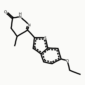 CCOc1ccc2cc(C3=NNC(=O)CC3C)sc2c1